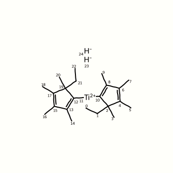 CCC1(C)C(C)=C(C)C(C)=[C]1[Ti+2][C]1=C(C)C(C)=C(C)C1(C)CC.[H-].[H-]